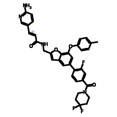 Cc1ccc(Oc2cc(-c3ccc(C(=O)N4CCC(F)(F)CC4)cc3F)cc3cc(CNC(=O)/C=C/c4ccc(N)nc4)oc23)cc1